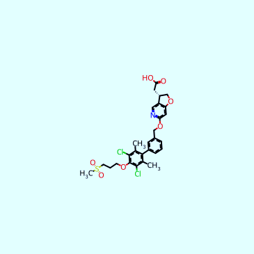 Cc1c(Cl)c(OCCCS(C)(=O)=O)c(Cl)c(C)c1-c1cccc(COc2cc3c(cn2)[C@H](CC(=O)O)CO3)c1